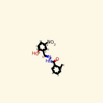 Cc1ccccc1C(=O)N/N=C/c1cc([N+](=O)[O-])ccc1O